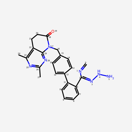 C=N/C(=N\NN)c1ccccc1-c1ccc(CN2C(=O)CCc3c(C)nc(C)nc32)cc1